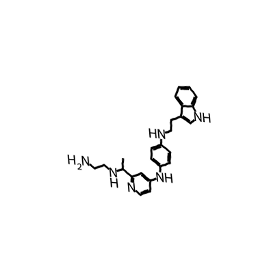 CC(NCCN)c1cc(Nc2ccc(NCCc3c[nH]c4ccccc34)cc2)ccn1